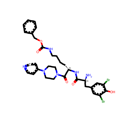 N[C@@H](Cc1cc(Br)c(O)c(Br)c1)C(=O)N[C@@H](CCCCNC(=O)OCc1ccccc1)C(=O)N1CCN(c2ccncc2)CC1